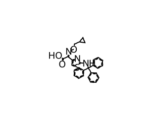 O=C(O)/C(=N/OCC1CC1)c1csc(NC(c2ccccc2)(c2ccccc2)c2ccccc2)n1